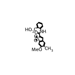 COc1cc2c(cc1C)C=C(C(=O)Nc1ccccc1C(=O)O)S2(=O)=O